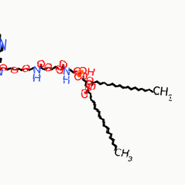 CCCCCCCCCCCCCCCCCC(=O)OCC(COP(=O)(O)OCCNC(=O)OCCOCC(=O)NCCOCCOCCOc1ncccc1-c1ccc(-c2cnc3ccccc3n2)cc1)OC(=O)CCCCCCCCCCCCCCCCC